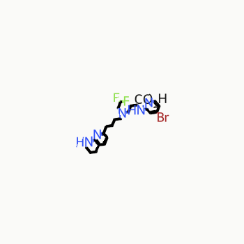 O=C(O)C(CCN(CCCCc1ccc2c(n1)NCCC2)CC(F)F)Nc1cc(Br)ccn1